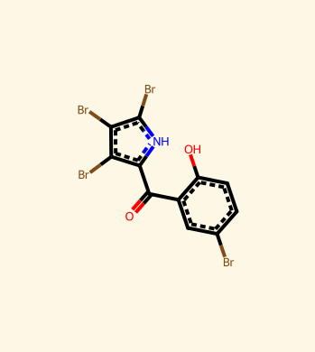 O=C(c1cc(Br)ccc1O)c1[nH]c(Br)c(Br)c1Br